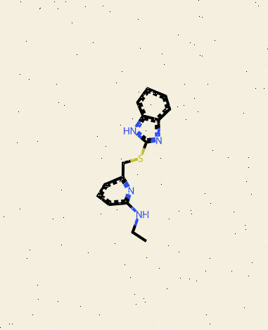 CCNc1cccc(CSc2nc3ccccc3[nH]2)n1